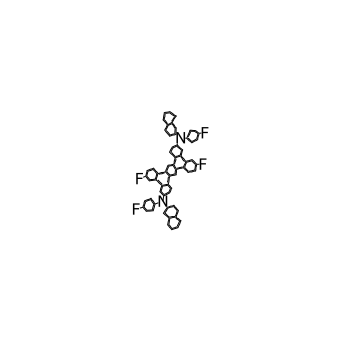 Fc1ccc(N(c2ccc3ccccc3c2)c2ccc3c(c2)c2cc(F)ccc2c2cc4c5ccc(N(c6ccc(F)cc6)c6ccc7ccccc7c6)cc5c5cc(F)ccc5c4cc32)cc1